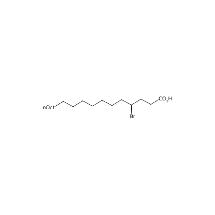 CCCCCCCCCCCCCCCC(Br)CCC(=O)O